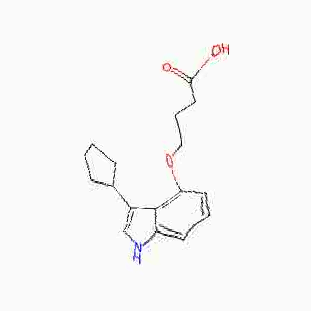 O=C(O)CCCOc1cccc2[nH]cc(C3CCC3)c12